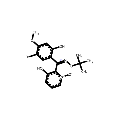 COc1cc(O)c(/C(=N/OC(C)(C)C)c2c(O)ccc[n+]2[O-])cc1Br